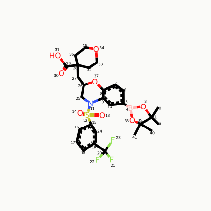 CC1(C)OB(c2ccc3c(c2)N(S(=O)(=O)c2cccc(C(F)(F)F)c2)CC(CC2(C(=O)O)CCOCC2)O3)OC1(C)C